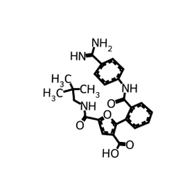 CC(C)(C)CNC(=O)c1cc(C(=O)O)c(-c2ccccc2C(=O)Nc2ccc(C(=N)N)cc2)o1